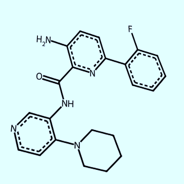 Nc1ccc(-c2ccccc2F)nc1C(=O)Nc1cnccc1N1CCCCC1